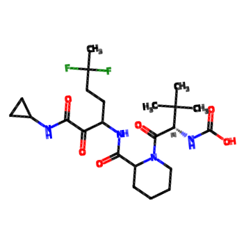 CC(F)(F)CCC(NC(=O)C1CCCCN1C(=O)[C@@H](NC(=O)O)C(C)(C)C)C(=O)C(=O)NC1CC1